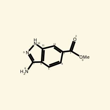 COC(=O)c1ccc2c(N)n[nH]c2c1